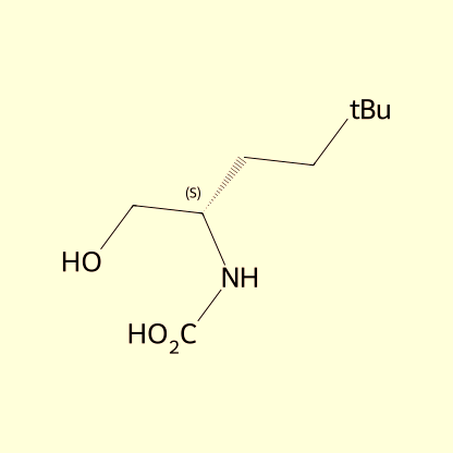 CC(C)(C)CC[C@@H](CO)NC(=O)O